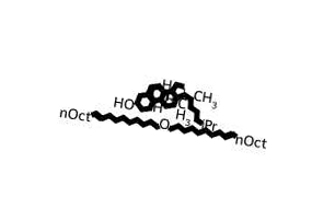 CC(C)CCC[C@@H](C)[C@H]1CC[C@H]2[C@@H]3CC=C4C[C@@H](O)CC[C@]4(C)[C@H]3CC[C@]12C.CCCCCCCCC=CCCCCCCCCOCCCCCCCCC=CCCCCCCCC